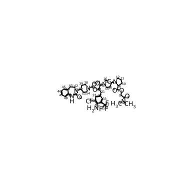 CN(C)C(=O)COC(=O)[C@@H]1CCCN1C1CCN(C(=O)[C@@H](Cc2cc(Cl)c(N)c(C(F)(F)F)c2)OC(=O)N2CCC(N3CCc4ccccc4NC3=O)CC2)CC1